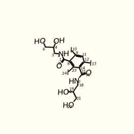 O=C(NCC(O)CO)c1c(I)cc(I)c(C(=O)NCC(O)CO)c1I